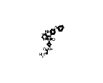 C=CC(=O)N[C@H]1C[C@@H](n2c(=O)n(-c3ccc(Oc4ccccc4)cc3)c3c(N)ncnc32)C1